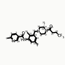 Cc1ccc(C(=O)Nc2cc(F)cc(CN3CCN(C(=O)CCC(F)(F)F)[C@@H](C)C3)c2C)cn1